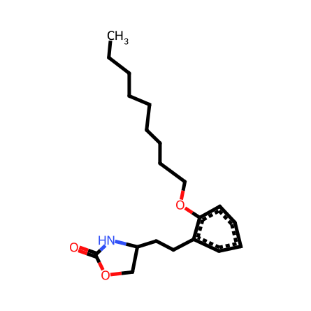 CCCCCCCCCOc1ccccc1CCC1COC(=O)N1